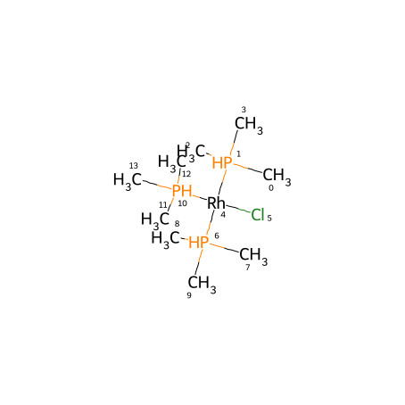 C[PH](C)(C)[Rh]([Cl])([PH](C)(C)C)[PH](C)(C)C